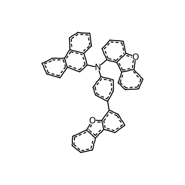 c1ccc2c(c1)cc(N(c1ccc(-c3cccc4c3oc3ccccc34)cc1)c1cccc3oc4ccccc4c13)c1ccccc12